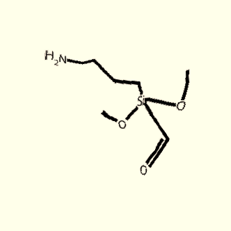 CO[Si](C=O)(CCCN)OC